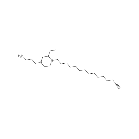 C#CCCCCCCCCCCCCCN1CCN(CCCN)CC1CC